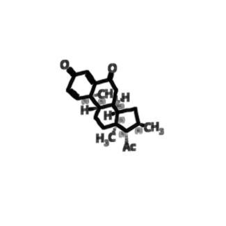 CC(=O)[C@H]1[C@H](C)C[C@H]2[C@@H]3CC(=O)C4=CC(=O)C=C[C@]4(C)[C@H]3CC[C@@]21C